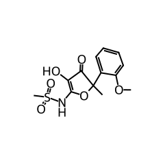 COc1ccccc1C1(C)OC(NS(C)(=O)=O)=C(O)C1=O